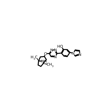 C[C@]12CC[C@](C)(CC(Oc3cnc(-c4ccc(-n5ccnc5)cc4O)nn3)C1)N2